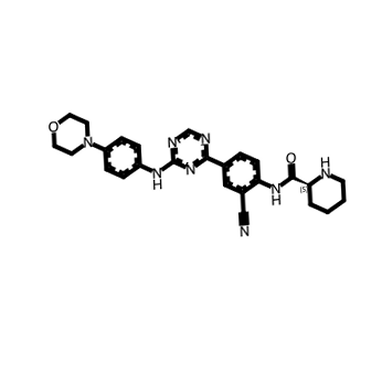 N#Cc1cc(-c2ncnc(Nc3ccc(N4CCOCC4)cc3)n2)ccc1NC(=O)[C@@H]1CCCCN1